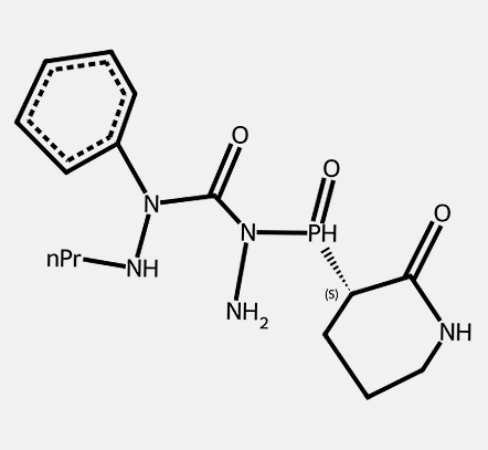 CCCNN(C(=O)N(N)[PH](=O)[C@H]1CCCNC1=O)c1ccccc1